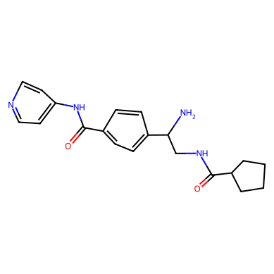 NC(CNC(=O)C1CCCC1)c1ccc(C(=O)Nc2ccncc2)cc1